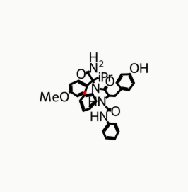 COc1ccc(C(C(N)=O)(C(C)C)N(C(=O)C(Cc2ccc(O)cc2)NC(=O)Nc2ccccc2)c2ccccc2)cc1